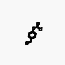 O=Cc1ccc(OC(=O)Cl)cc1